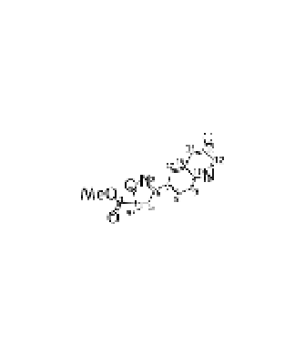 COC(=O)C1(C)CC(c2ccc3ncc(Cl)cc3c2)=NO1